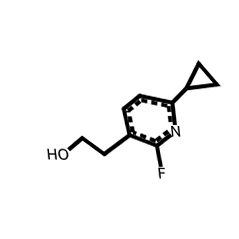 OCCc1ccc(C2CC2)nc1F